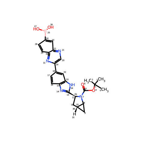 CC(C)(C)OC(=O)N1C2C[C@@H]2C[C@H]1c1nc2ccc(-c3cnc4cc(B(O)O)ccc4n3)cc2[nH]1